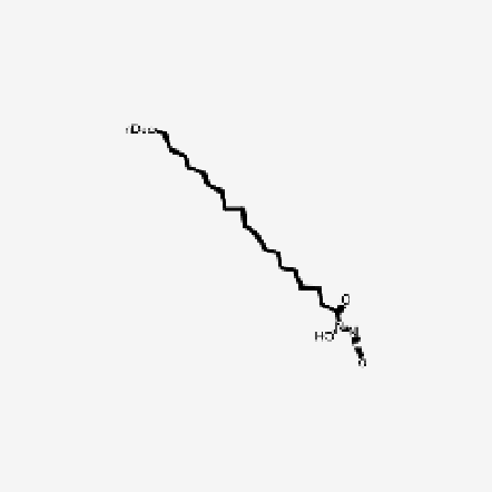 CCCCCCCCCCCCCCCCCCCCCCCCCCCCC(=O)N(O)N=C=O